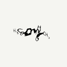 COc1ccc(C=CNC(C)=O)cc1